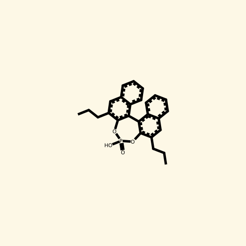 CCCc1cc2ccccc2c2c1OP(=O)(O)Oc1c(CCC)cc3ccccc3c1-2